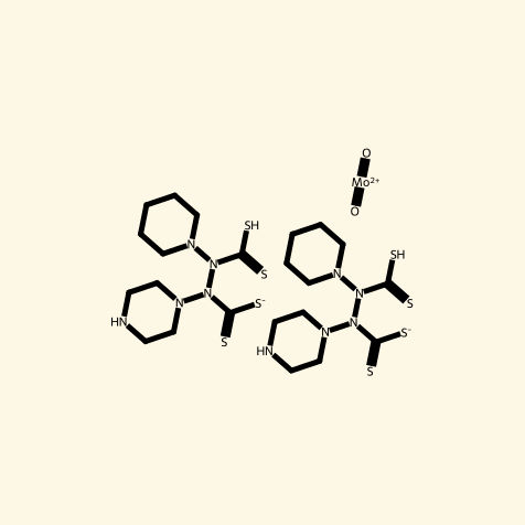 S=C([S-])N(N1CCNCC1)N(C(=S)S)N1CCCCC1.S=C([S-])N(N1CCNCC1)N(C(=S)S)N1CCCCC1.[O]=[Mo+2]=[O]